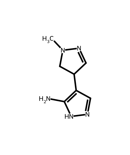 CN1CC(c2cn[nH]c2N)C=N1